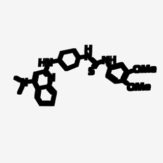 COc1ccc(NC(=S)NC2CCC(Nc3cc(N(C)C)c4ccccc4n3)CC2)cc1OC